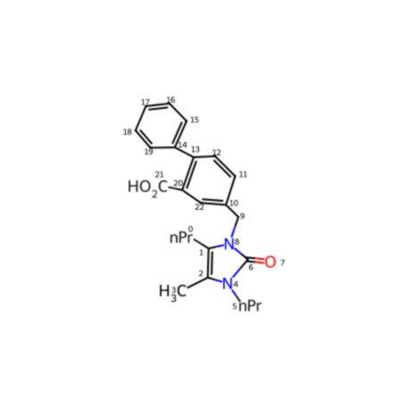 CCCc1c(C)n(CCC)c(=O)n1Cc1ccc(-c2ccccc2)c(C(=O)O)c1